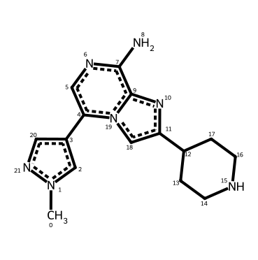 Cn1cc(-c2cnc(N)c3nc(C4CCNCC4)cn23)cn1